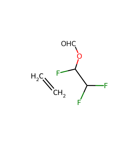 C=C.O=COC(F)C(F)F